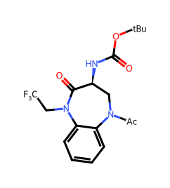 CC(=O)N1C[C@H](NC(=O)OC(C)(C)C)C(=O)N(CC(F)(F)F)c2ccccc21